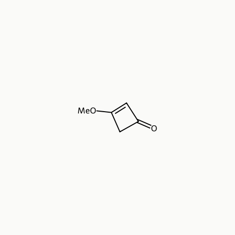 COC1=CC(=O)C1